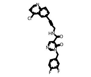 O=C(NCC#Cc1ccc2nccc(Cl)c2c1)c1cncn(Cc2ccc(F)c(F)c2)c1=O